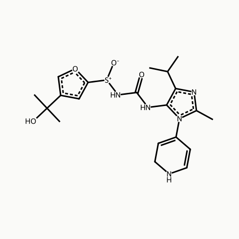 Cc1nc(C(C)C)c(NC(=O)N[S+]([O-])c2cc(C(C)(C)O)co2)n1C1=CCNC=C1